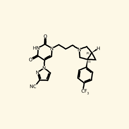 N#Cc1ccn(-c2cn(CCCN3C[C@@H]4C[C@]4(c4ccc(C(F)(F)F)cc4)C3)c(=O)[nH]c2=O)n1